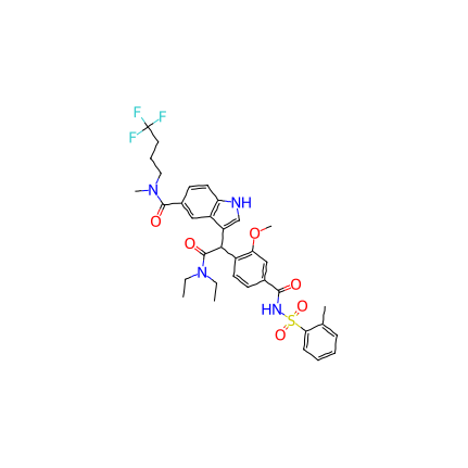 CCN(CC)C(=O)C(c1ccc(C(=O)NS(=O)(=O)c2ccccc2C)cc1OC)c1c[nH]c2ccc(C(=O)N(C)CCCC(F)(F)F)cc12